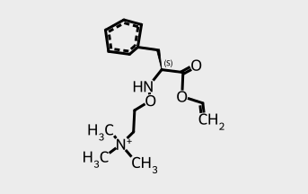 C=COC(=O)[C@H](Cc1ccccc1)NOCC[N+](C)(C)C